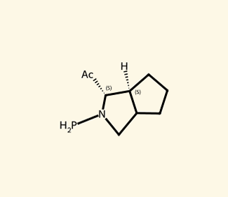 CC(=O)[C@@H]1[C@H]2CCCC2CN1P